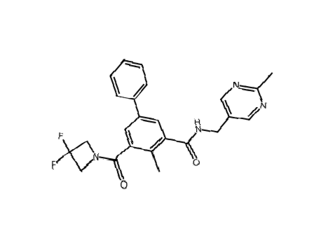 Cc1ncc(CNC(=O)c2cc(-c3ccccc3)cc(C(=O)N3CC(F)(F)C3)c2C)cn1